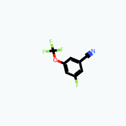 N#Cc1cc(F)cc(OC(F)(F)F)c1